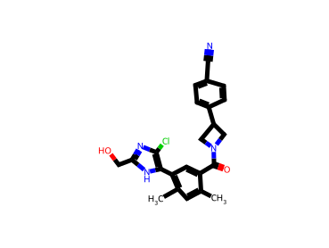 Cc1cc(C)c(-c2[nH]c(CO)nc2Cl)cc1C(=O)N1CC(c2ccc(C#N)cc2)C1